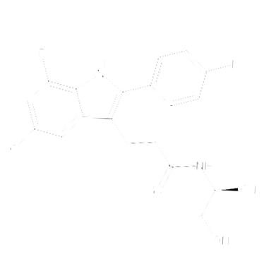 Cc1cc(F)c2[nH]c(-c3ccc(F)cc3)c(CCC(=O)N[C@@H](C)CO)c2c1